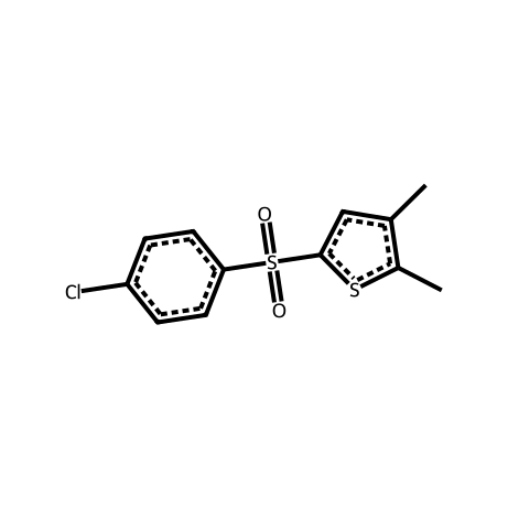 Cc1cc(S(=O)(=O)c2ccc(Cl)cc2)sc1C